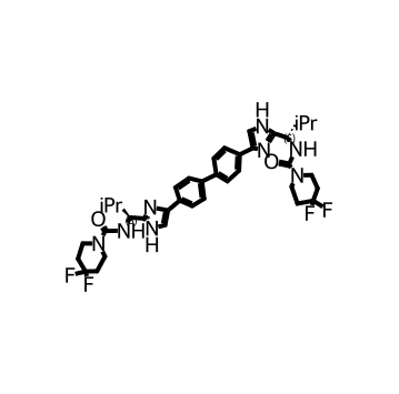 CC(C)[C@H](NC(=O)N1CCC(F)(F)CC1)c1nc(-c2ccc(-c3ccc(-c4c[nH]c([C@@H](NC(=O)N5CCC(F)(F)CC5)C(C)C)n4)cc3)cc2)c[nH]1